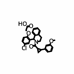 COc1cccc(C2CC2C(=O)N2CCc3ccccc3C2c2cc(Cl)ccc2OCC(=O)O)c1